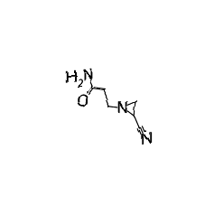 N#CC1CN1CCC(N)=O